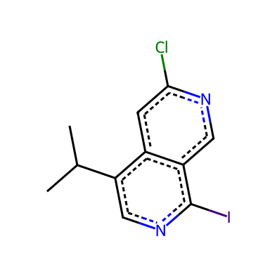 CC(C)c1cnc(I)c2cnc(Cl)cc12